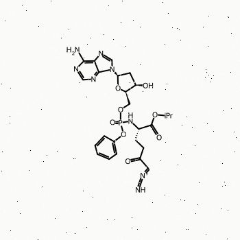 CC(C)OC(=O)[C@H](CCC(=O)C=[N+]=N)NP(=O)(OC[C@H]1O[C@@H](n2cnc3c(N)ncnc32)C[C@H]1O)Oc1ccccc1